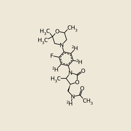 [2H]c1c([2H])c(N2C(=O)O[C@@H](CN([2H])C(C)=O)C2C)c([2H])c(F)c1N1CC(C)OC(C)(C)C1